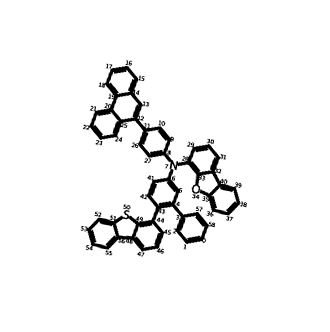 c1ccc(-c2cc(N(c3ccc(-c4cc5ccccc5c5ccccc45)cc3)c3cccc4c3oc3ccccc34)ccc2-c2cccc3c2sc2ccccc23)cc1